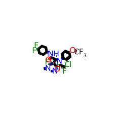 C=N/C(F)=C(\C(F)=N/C)[C@@](C)(C(=O)NC1CCC(F)(F)CC1)N(C(=O)[C@H](F)Cl)c1ccc(OC(F)(F)F)cc1